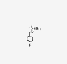 CCCC[Si](C)(C)OCc1ccc(F)cc1